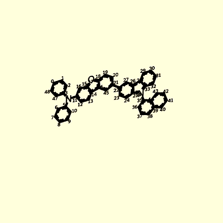 c1ccc(N(c2ccccc2)c2ccc3c(c2)oc2ccc(-c4ccc5c(c4)c4ccccc4n5-c4cccc5ccccc45)cc23)cc1